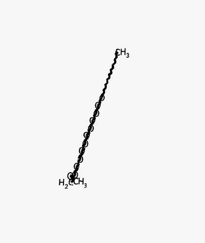 C=C(C)C(=O)OCCOCCOCCOCCOCCOCCOCCOCCOCCOCCOCCCCCCCCCCCCCCCCCC